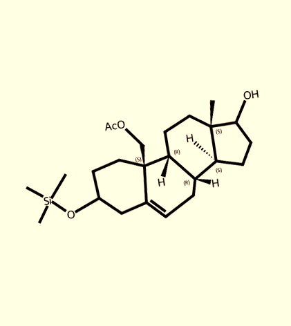 CC(=O)OC[C@]12CCC(O[Si](C)(C)C)CC1=CC[C@@H]1[C@H]2CC[C@]2(C)C(O)CC[C@@H]12